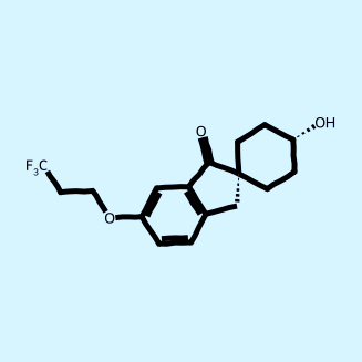 O=C1c2cc(OCCC(F)(F)F)ccc2C[C@]12CC[C@@H](O)CC2